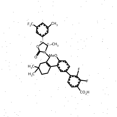 COc1ccc(-c2ccc(C(=O)O)c(F)c2F)cc1C1=C(CN2C(=O)O[C@H](c3cc(C)cc(C(F)(F)F)c3)[C@@H]2C)CC(C)(C)CC1